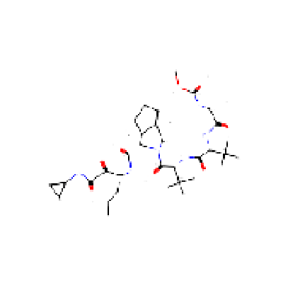 CCC[C@H](NC(=O)[C@@H]1[C@H]2CCC[C@H]2CN1C(=O)[C@@H](NC(=O)[C@@H](NC(=O)[C@@H](C)NC(=O)OC)C(C)(C)C)C(C)(C)C)C(=O)C(=O)NC1CC1